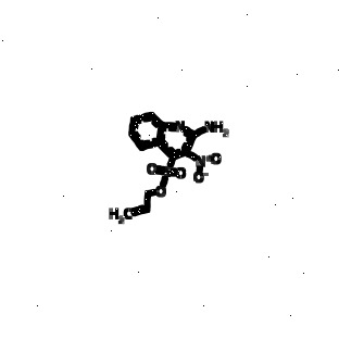 C=CCOS(=O)(=O)c1c([N+](=O)[O-])c(N)nc2ccccc12